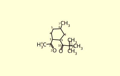 CC(=O)C1CCC(C)CC1C(=O)C(C)(C)C